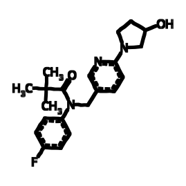 CC(C)(C)C(=O)N(Cc1ccc(N2CCC(O)C2)nc1)c1ccc(F)cc1